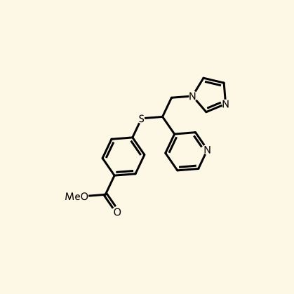 COC(=O)c1ccc(SC(Cn2ccnc2)c2cccnc2)cc1